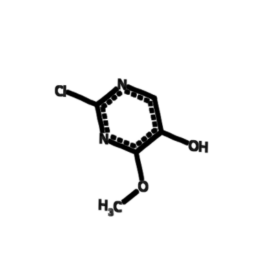 COc1nc(Cl)ncc1O